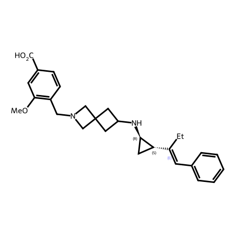 CC/C(=C\c1ccccc1)[C@@H]1C[C@H]1NC1CC2(C1)CN(Cc1ccc(C(=O)O)cc1OC)C2